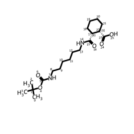 CC(C)(C)OC(=O)NCCCCCCNC(=O)[C@@H]1CCCC[C@@H]1C(=O)O